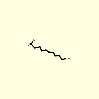 O=CCCCCCCCCCC(=O)Br